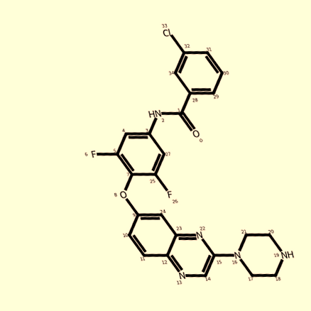 O=C(Nc1cc(F)c(Oc2ccc3ncc(N4CCNCC4)nc3c2)c(F)c1)c1cccc(Cl)c1